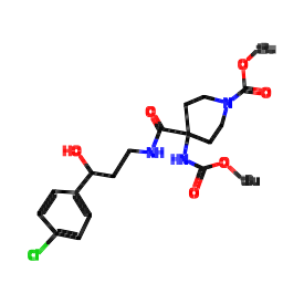 CC(C)(C)OC(=O)NC1(C(=O)NCCC(O)c2ccc(Cl)cc2)CCN(C(=O)OC(C)(C)C)CC1